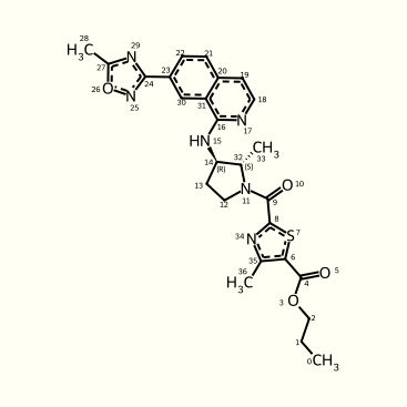 CCCOC(=O)c1sc(C(=O)N2CC[C@@H](Nc3nccc4ccc(-c5noc(C)n5)cc34)[C@@H]2C)nc1C